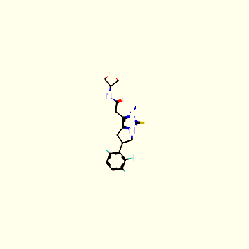 Cn1c(CC(=O)NC2COC2)c2n(c1=S)CC(c1c(F)ccc(F)c1F)C2